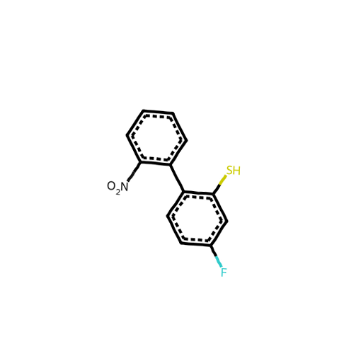 O=[N+]([O-])c1ccccc1-c1ccc(F)cc1S